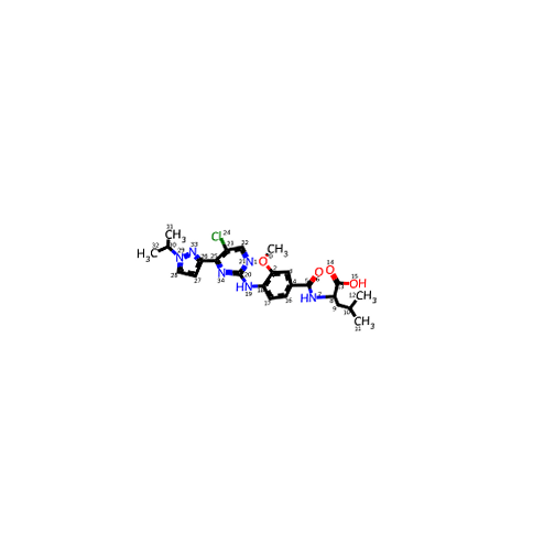 COc1cc(C(=O)NC(CC(C)C)C(=O)O)ccc1Nc1ncc(Cl)c(-c2ccn(C(C)C)n2)n1